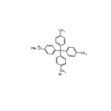 Cc1ccc([P+](c2ccc(C)cc2)(c2ccc(C)cc2)c2ccc(C)cc2)cc1.[Br-].[Br-].[H+]